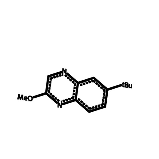 COc1cnc2cc(C(C)(C)C)ccc2n1